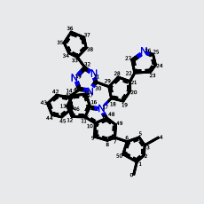 Cc1cc(C)cc(-c2ccc3c4ccccc4n(-c4ccc(-c5cccnc5)cc4-c4nc(-c5ccccc5)nc(-c5ccccc5)n4)c3c2)c1